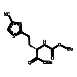 CC(C)COC(=O)[C@H](CCc1nc(C#N)cs1)NC(=O)OC(C)(C)C